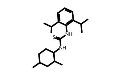 CC1CCC(NC(=S)Nc2c(C(C)C)cccc2C(C)C)C(C)C1